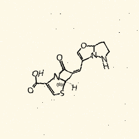 O=C(O)C1=CS[C@@H]2C(=CC3=COC4CCNN34)C(=O)N12